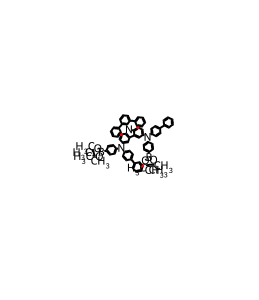 CC1(C)OB(c2ccc(N(c3ccc(-c4ccccc4)cc3)c3ccc4c(c3)c3cc(N(c5ccc(B6OC(C)(C)C(C)(C)O6)cc5)c5ccc(-c6ccccc6)cc5)ccc3n4-c3c(-c4ccccc4)cccc3-c3ccccc3)cc2)OC1(C)C